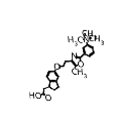 Cc1oc(-c2cccc([N+](C)(C)C)c2)nc1CCOc1ccc2c(c1)CC[C@H]2CC(=O)O